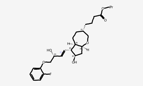 CC(C)OC(=O)CCC[C@H]1CC[C@@H]2[C@@H](/C=C/[C@@H](O)COc3ccccc3F)[C@H](O)C[C@@H]2OC1